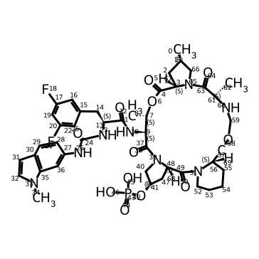 C[C@@H]1C[C@H]2C(=O)O[C@@H](C)[C@H](NC(=O)[C@H](Cc3cc(F)cc(F)c3)NC(=O)Nc3ccc4ccn(C)c4c3)C(=O)N3C[C@H](OP(=O)(O)O)C[C@H]3C(=O)N3CCCC[C@H]3COCN[C@@H](C)C(=O)N2C1